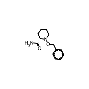 NC(=O)[C@@H]1CCCCN1OCc1ccccc1